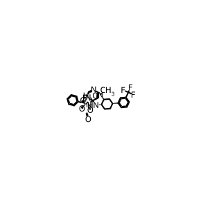 CN(C)[C@H]1C[C@@H](c2cccc(C(F)(F)F)c2)CC[C@@H]1NC1(N(OC=O)S(=O)(=O)c2ccccc2)C=CN=CN1F